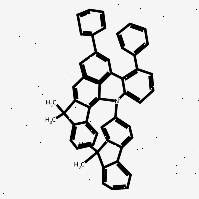 CC1(C)c2ccccc2-c2ccc(N(c3cccc(-c4ccccc4)c3-c3cccc(-c4ccccc4)c3)c3cccc4c3-c3ccccc3C4(C)C)cc21